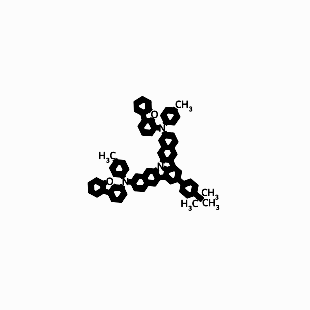 Cc1ccc(N(c2ccc3cc4c5cc(-c6ccc(C(C)(C)C)cc6)cc6c7cc8ccc(N(c9ccc(C)cc9)c9cccc%10c9oc9ccccc9%10)cc8cc7n(c4cc3c2)c56)c2cccc3c2oc2ccccc23)cc1